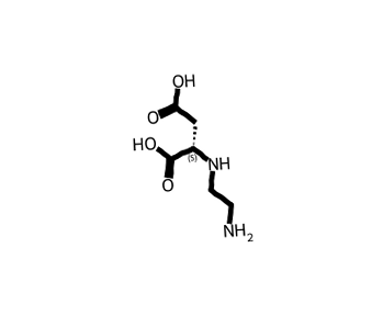 NCCN[C@@H](CC(=O)O)C(=O)O